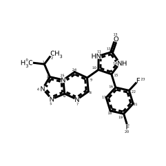 CC(C)c1nnc2ncc(-c3[nH]c(=O)[nH]c3-c3ccc(F)cc3F)cn12